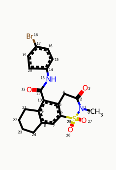 CN1C(=O)Cc2c(cc3c(c2C(=O)Nc2ccc(Br)cc2)CCCC3)S1(=O)=O